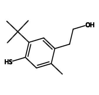 Cc1cc(S)c(C(C)(C)C)cc1CCO